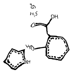 O=C(O)c1ccccc1O.S.[Zn].c1cc[nH]c1